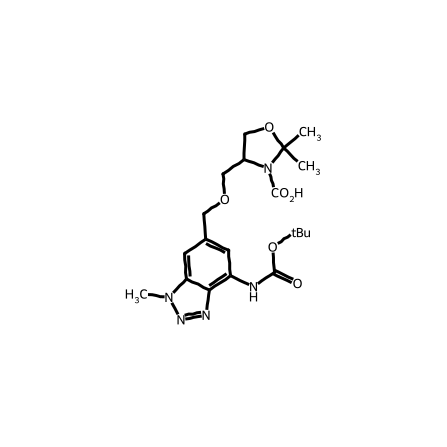 Cn1nnc2c(NC(=O)OC(C)(C)C)cc(COCC3COC(C)(C)N3C(=O)O)cc21